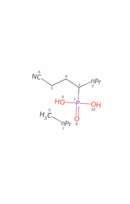 CCCC.CCCC(CCC#N)P(=O)(O)O